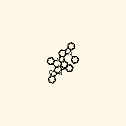 c1ccc(-c2nc(-c3ccccc3-n3c4ccccc4c4c3ccc3c5ccccc5n(-c5ccccc5)c34)c3oc4ccccc4c3n2)cc1